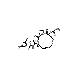 NC(=O)OC1CCCCC/C=C/C2CC2(C(=O)NS(=O)(=O)c2cc(Cl)sc2Cl)NC(=O)C2CCCN2C1=O